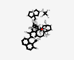 C#Cc1c(F)ccc2cccc(-c3nc4c5c(nc(OCC67CCCN6C[C@H](OC(F)(F)F)C7)nc5c3F)N3C[C@H]5CC[C@@H]([C@H]3CC4)N5C(=O)OC(C)(C)C)c12